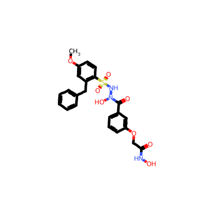 COc1ccc(S(=O)(=O)NN(O)C(=O)c2cccc(OCC(=O)NO)c2)c(Cc2ccccc2)c1